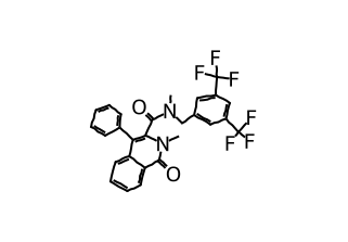 CN(Cc1cc(C(F)(F)F)cc(C(F)(F)F)c1)C(=O)c1c(-c2ccccc2)c2ccccc2c(=O)n1C